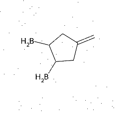 BC1CC(=C)CC1B